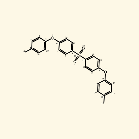 Cc1ccc(Oc2ccc(S(=O)(=O)c3ccc(Oc4ccc(C)cc4)cc3)cc2)cc1